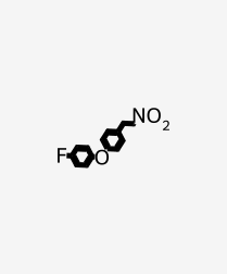 O=[N+]([O-])CCc1ccc(Oc2ccc(F)cc2)cc1